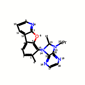 Cc1ccc2c(oc3ncccc32)c1N1c2nccnc2N(C(C)C)C1C